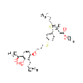 CCCCSC(c1ccc(SCCCOc2ccc(C(C)=O)c(O)c2CCC)cc1)C(C)CC(=O)OC